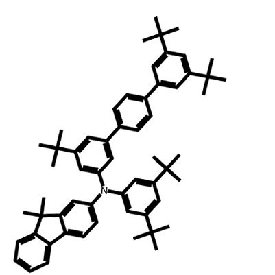 CC(C)(C)c1cc(-c2ccc(-c3cc(C(C)(C)C)cc(C(C)(C)C)c3)cc2)cc(N(c2cc(C(C)(C)C)cc(C(C)(C)C)c2)c2ccc3c(c2)C(C)(C)c2ccccc2-3)c1